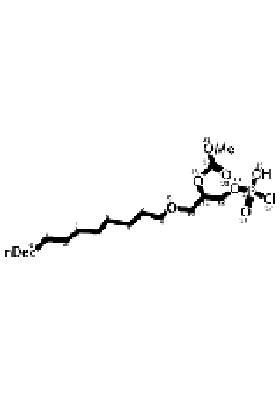 CCCCCCCCCCCCCCCCCCOCC(COP(=O)(O)Cl)OC(=O)OC